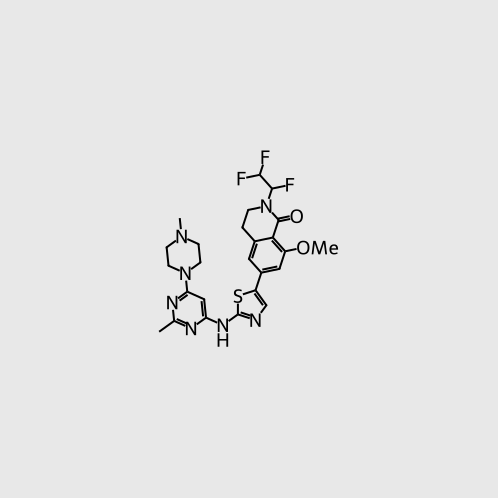 COc1cc(-c2cnc(Nc3cc(N4CCN(C)CC4)nc(C)n3)s2)cc2c1C(=O)N(C(F)C(F)F)CC2